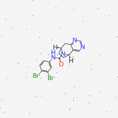 O=C(Nc1ccc(Br)c(Br)c1)N1[C@@H]2CC[C@H]1c1cncnc1C2